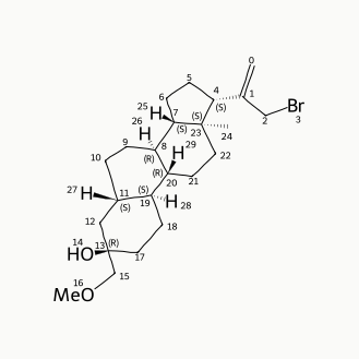 C=C(CBr)[C@H]1CC[C@H]2[C@@H]3CC[C@H]4C[C@@](O)(COC)CC[C@@H]4[C@H]3CC[C@]12C